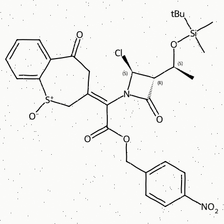 C[C@H](O[Si](C)(C)C(C)(C)C)[C@@H]1C(=O)N(C(C(=O)OCc2ccc([N+](=O)[O-])cc2)=C2CC(=O)c3ccccc3[S+]([O-])C2)[C@H]1Cl